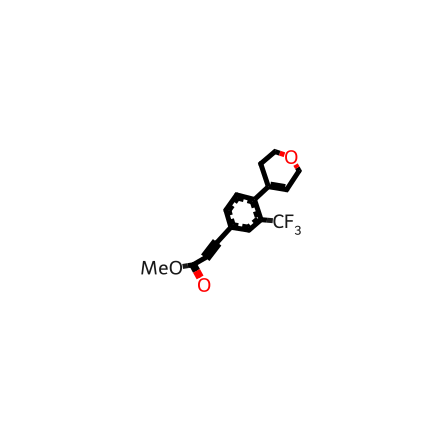 COC(=O)C#Cc1ccc(C2=CCOCC2)c(C(F)(F)F)c1